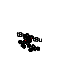 CC(C)(C)c1ccc2c(c1)C1(c3cc(C(C)(C)C)ccc3-2)c2ccccc2-c2c(N(c3ccc(-c4ccccc4-c4cccc5c4C(C)(C)c4ccccc4-5)cc3)c3ccc4c(c3)C3(c5ccccc5-4)C4CC5CC(C4)CC3C5)cccc21